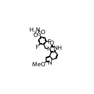 COC1=NC2C=Cc3[nH]c(=O)n(Cc4c(F)cc(S(N)(=O)=O)cc4F)c3C2=C1